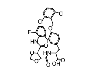 O=C(O)[C@H](Cc1ccc(OCc2c(Cl)cccc2Cl)cc1)NC(=O)[C@@H]1OCO[C@H]1C(=O)Nc1c(F)cccc1F